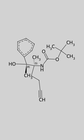 C#CCC[C@](C)(NC(=O)OC(C)(C)C)[C@](C)(O)c1ccccc1